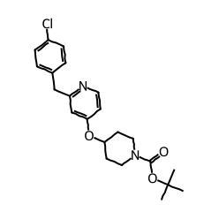 CC(C)(C)OC(=O)N1CCC(Oc2ccnc(Cc3ccc(Cl)cc3)c2)CC1